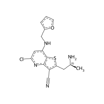 C[C@H](N)Cc1sc2c(NCc3ccco3)cc(Cl)nc2c1C#N